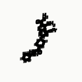 CCCc1cc(N2CCN(C(=O)NNc3ccccc3)CC2)nc2sc(C(N)=O)c(N)c12